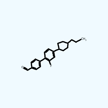 CCCC1CCC(c2ccc(-c3ccc(C=O)cc3)c(F)c2)CC1